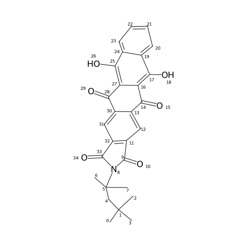 CC(C)(C)CC(C)(C)n1c(=O)c2cc3c(=O)c4c(O)c5ccccc5c(O)c4c(=O)c3cc2c1=O